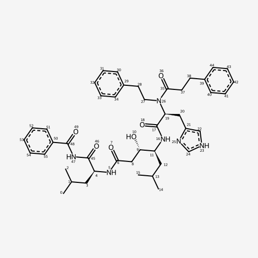 CC(C)C[C@H](NC(=O)C[C@H](O)[C@H](CC(C)C)NC(=O)[C@H](Cc1c[nH]cn1)N(CCc1ccccc1)C(=O)CCc1ccccc1)C(=O)NC(=O)c1ccccc1